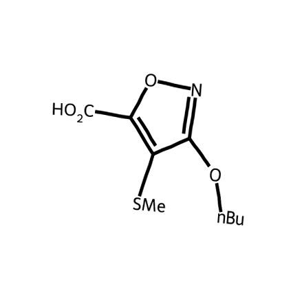 CCCCOc1noc(C(=O)O)c1SC